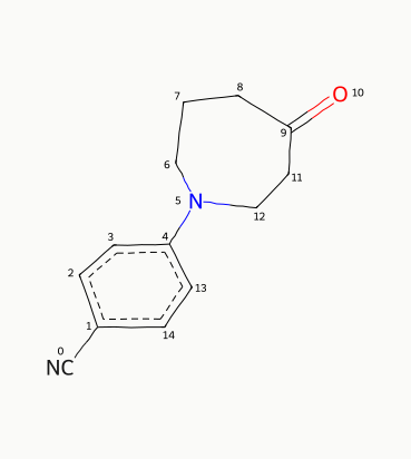 N#Cc1ccc(N2CCCC(=O)CC2)cc1